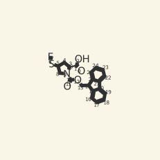 O=C(O)[C@@H]1CC(SF)CN1C(=O)OCC1c2ccccc2-c2ccccc21